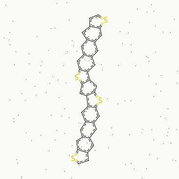 c1cc2cc3cc4cc5sc6cc7c(cc6c5cc4cc3cc2s1)sc1cc2cc3cc4ccsc4cc3cc2cc17